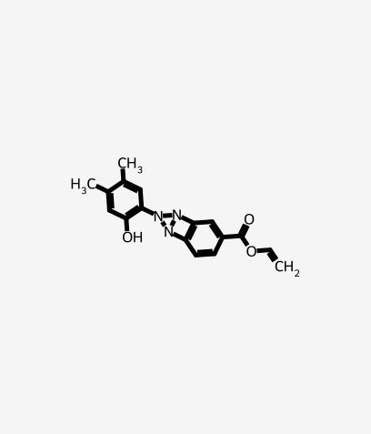 C=COC(=O)c1ccc2c(c1)n1n(-c3cc(C)c(C)cc3O)n21